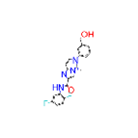 O=C(Nc1cc(F)ccc1F)C1=C[N+]2CN(c3cccc(CO)c3)C=CC2=N1